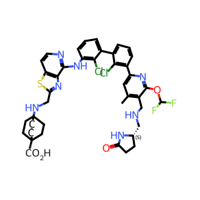 Cc1cc(-c2cccc(-c3cccc(Nc4nccc5sc(CNC67CCC(C(=O)O)(CC6)CC7)nc45)c3Cl)c2Cl)nc(OC(F)F)c1CNC[C@@H]1CCC(=O)N1